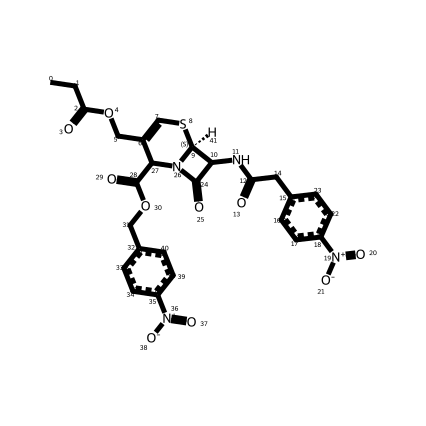 CCC(=O)OCC1=CS[C@H]2C(NC(=O)Cc3ccc([N+](=O)[O-])cc3)C(=O)N2C1C(=O)OCc1ccc([N+](=O)[O-])cc1